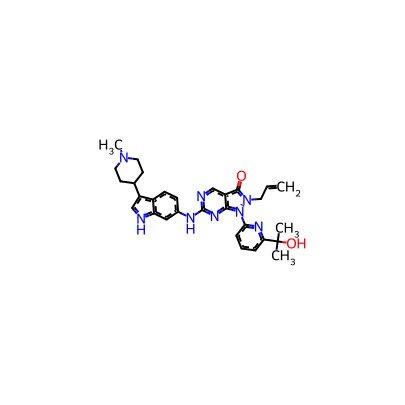 C=CCn1c(=O)c2cnc(Nc3ccc4c(C5CCN(C)CC5)c[nH]c4c3)nc2n1-c1cccc(C(C)(C)O)n1